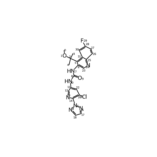 COC(C)(C)c1c(NC(=O)Nc2cnc(-n3nccn3)c(Cl)c2)cnc2ccc(F)cc12